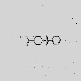 O=C(CCl)N1CCN(S(=O)(=O)c2ccccc2)CC1